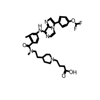 Cc1cc(Nc2nccn3c(-c4ccc(OC(F)F)cc4)cnc23)ccc1C(=O)N(C)CCC1CCN(CCCC(=O)O)CC1